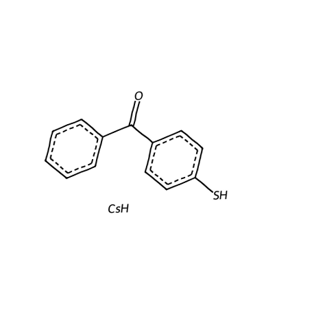 O=C(c1ccccc1)c1ccc(S)cc1.[CsH]